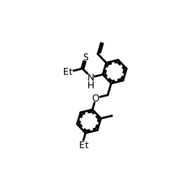 C=Cc1cccc(COc2ccc(CC)cc2C)c1NC(=S)CC